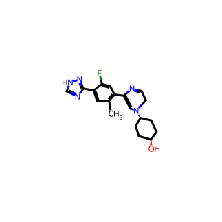 Cc1cc(-c2nc[nH]n2)c(F)cc1C1=CN([C@H]2CC[C@H](O)CC2)CC=N1